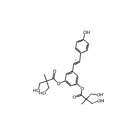 CC(CO)(CO)C(=O)Oc1cc(/C=C/c2ccc(O)cc2)cc(OC(=O)C(C)(CO)CO)c1